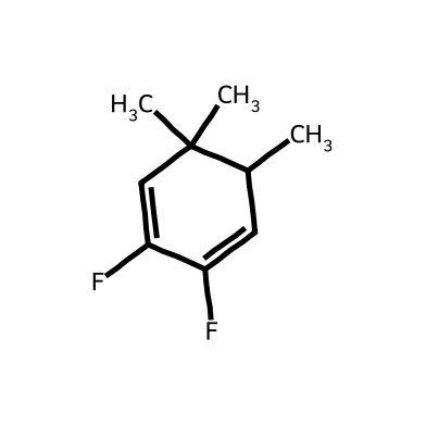 CC1C=C(F)C(F)=CC1(C)C